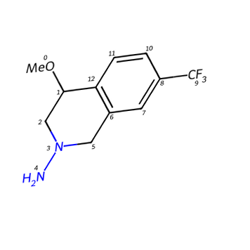 COC1CN(N)Cc2cc(C(F)(F)F)ccc21